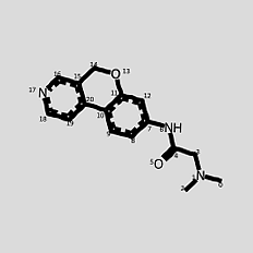 CN(C)CC(=O)Nc1ccc2c(c1)OCc1cnccc1-2